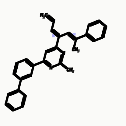 C=C/C=C(\C=C(/C)c1ccccc1)c1cc(-c2cccc(-c3ccccc3)c2)nc(C)n1